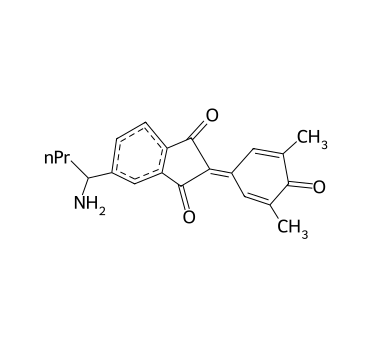 CCCC(N)c1ccc2c(c1)C(=O)C(=C1C=C(C)C(=O)C(C)=C1)C2=O